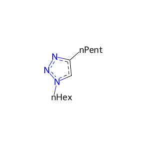 CCCCCCn1cc(CCCCC)nn1